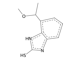 COC(C)c1cccc2nc(S)[nH]c12